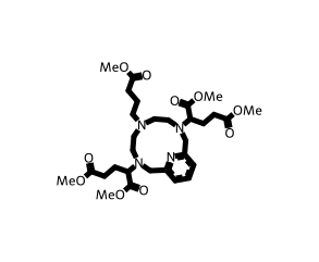 COC(=O)CCCN1CCN(C(CCC(=O)OC)C(=O)OC)Cc2cccc(n2)CN(C(CCC(=O)OC)C(=O)OC)CC1